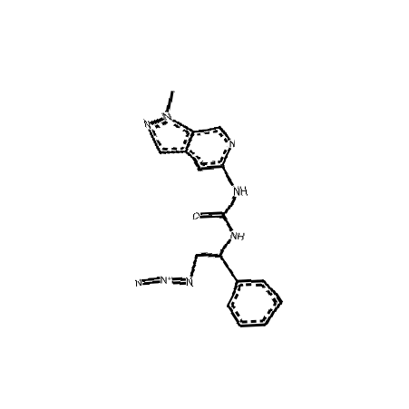 Cn1ncc2cc(NC(=O)NC(CN=[N+]=[N-])c3ccccc3)ncc21